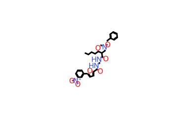 CCCCCC(CN(C=O)OCc1ccccc1)C(=O)NCNC(=O)c1ccc(-c2cccc([N+](=O)[O-])c2)o1